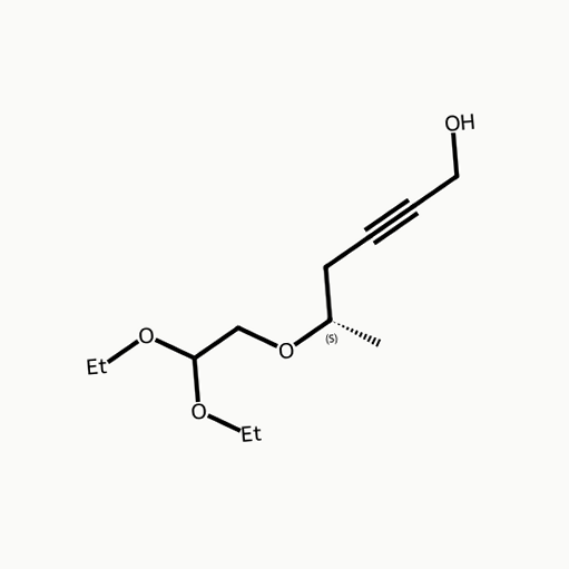 CCOC(CO[C@@H](C)CC#CCO)OCC